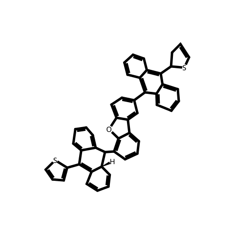 C1=CC2=C(c3cccs3)c3ccccc3C(c3cccc4c3oc3ccc(-c5c6ccccc6c(C6CC=CS6)c6ccccc56)cc34)[C@@H]2C=C1